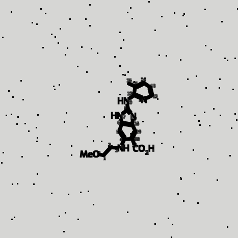 COCCNc1cc2[nH]c(Nc3ncccc3C)nc2cc1C(=O)O